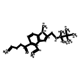 C=CCCC(=O)c1ccc2c(cc(CO[Si](C)(C)C(C)(C)C)n2C)c1C=C